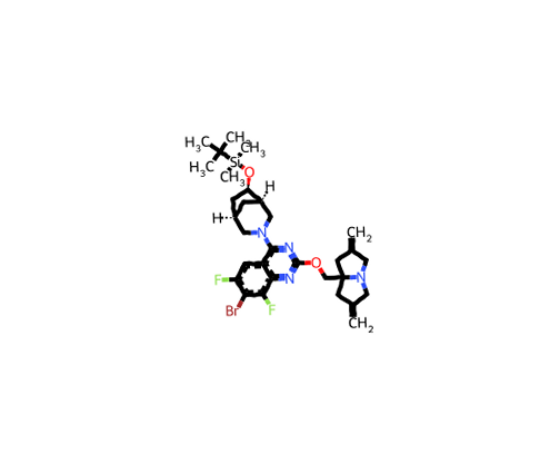 C=C1CN2CC(=C)CC2(COc2nc(N3C[C@@H]4C[C@H](C3)[C@H](O[Si](C)(C)C(C)(C)C)C4)c3cc(F)c(Br)c(F)c3n2)C1